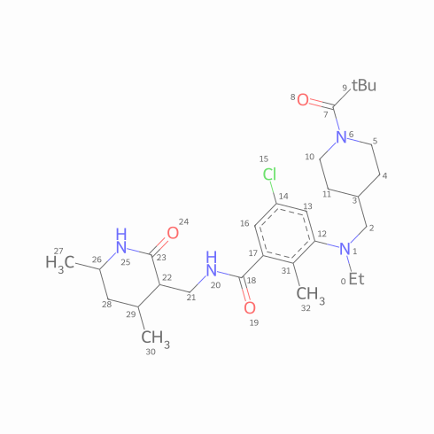 CCN(CC1CCN(C(=O)C(C)(C)C)CC1)c1cc(Cl)cc(C(=O)NCC2C(=O)NC(C)CC2C)c1C